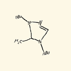 CCCCN1C=NN(CCCC)C1C